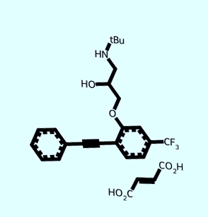 CC(C)(C)NCC(O)COc1cc(C(F)(F)F)ccc1C#Cc1ccccc1.O=C(O)C=CC(=O)O